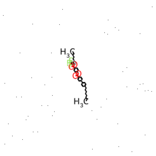 CCCCCCCCc1ccc(-c2ccc(C(=O)Oc3ccc(C(=O)O[C@@H](CCCCCC)C(F)(F)F)cc3)cc2)cc1